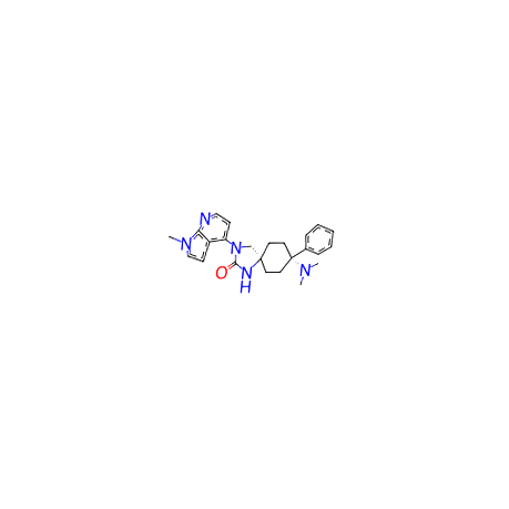 Cn1ccc2c(N3C[C@]4(CC[C@@](c5ccccc5)(N(C)C)CC4)NC3=O)ccnc21